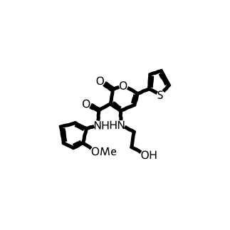 COc1ccccc1NC(=O)c1c(NCCO)cc(-c2cccs2)oc1=O